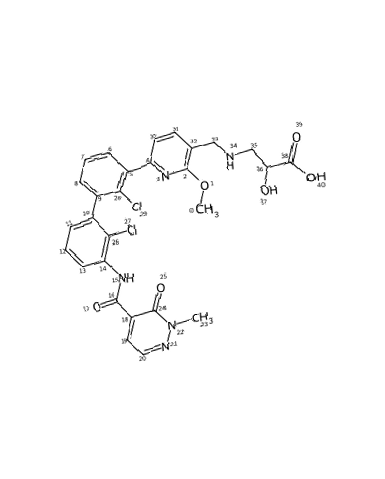 COc1nc(-c2cccc(-c3cccc(NC(=O)c4ccnn(C)c4=O)c3Cl)c2Cl)ccc1CNCC(O)C(=O)O